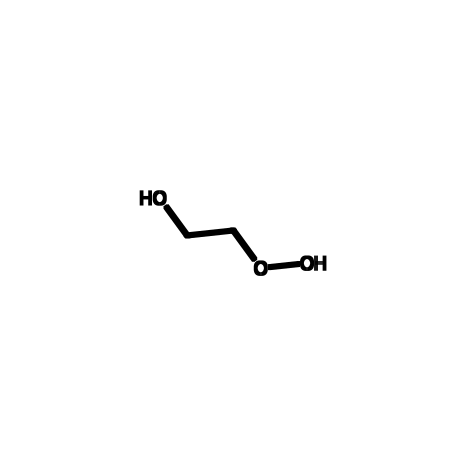 OCCOO